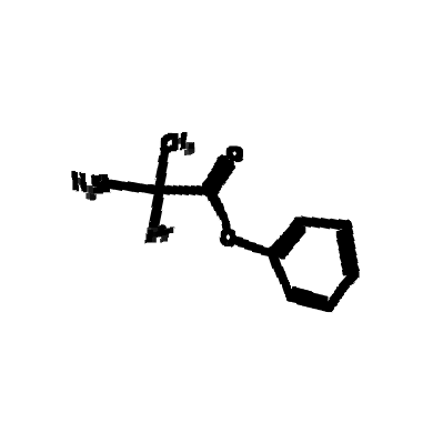 CC(C)C(C)([SiH3])C(=O)Oc1ccccc1